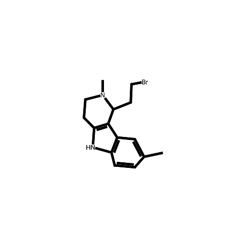 Cc1ccc2[nH]c3c(c2c1)C(CCBr)N(C)CC3